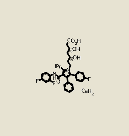 CC(C)c1c(C(=O)Nc2ccc(F)cc2F)c(-c2ccccc2)c(-c2ccc(F)cc2)n1CC[C@@H](O)C[C@@H](O)CC(=O)O.[CaH2]